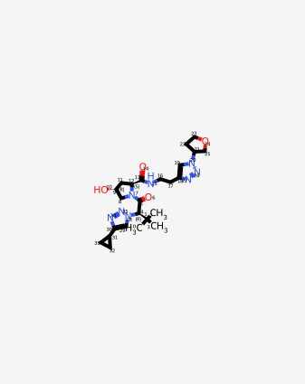 CC(C)(C)[C@H](C(=O)N1C[C@H](O)C[C@H]1C(=O)NCCc1cn(C2CCOC2)nn1)n1cc(C2CC2)nn1